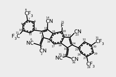 N#CC(C#N)=C1C(c2cc(C(F)(F)F)cc(C(F)(F)F)c2)=C(C#N)c2c1cc1c(c2F)C(C#N)=C(c2cc(C(F)(F)F)cc(C(F)(F)F)c2)C1=C(C#N)C#N